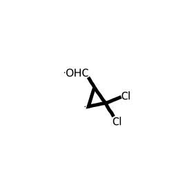 O=[C]C1[CH]C1(Cl)Cl